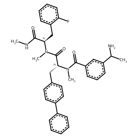 CNC(=O)[C@@H](Cc1ccccc1F)N(C)C(=O)[C@@H](Cc1ccc(-c2ccccc2)cc1)N(C)C(=O)c1cccc(C(C)N)c1